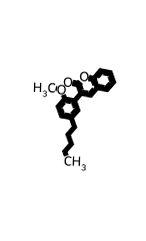 CCCCCc1ccc(OC)c(-c2cc3ccccc3oc2=O)c1